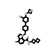 O=C(NC1CC2(CCC2)C1)c1ccc(F)c2ccn(Cc3ccc(-c4ccc(OC5COC5)c(Cl)c4)cc3)c12